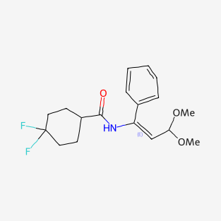 COC(/C=C(/NC(=O)C1CCC(F)(F)CC1)c1ccccc1)OC